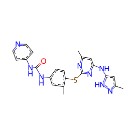 Cc1cc(Nc2cc(C)nc(Sc3ccc(NC(=O)Nc4ccncc4)cc3C)n2)[nH]n1